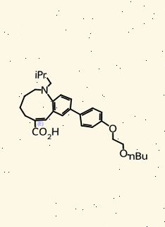 CCCCOCCOc1ccc(-c2ccc3c(c2)/C=C(/C(=O)O)CCCCN3CC(C)C)cc1